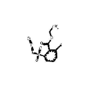 CCOC(=O)c1c(I)cccc1S(=O)(=O)N=C=O